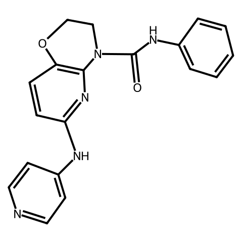 O=C(Nc1ccccc1)N1CCOc2ccc(Nc3ccncc3)nc21